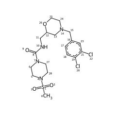 CS(=O)(=O)N1CCN(C(=O)NCC2CN(Cc3ccc(Cl)c(Cl)c3)CCO2)CC1